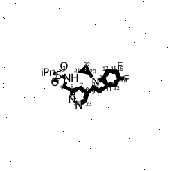 CC(C)S(=O)(=O)NCc1cc(-c2cc3cc(F)c(F)cc3n2C2CC2)cnn1